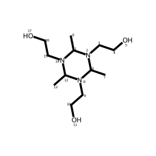 CC1N(CCO)C(C)N(CCO)C(C)N1CCO